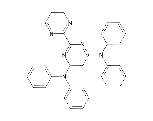 c1ccc(N(c2ccccc2)c2cc(N(c3ccccc3)c3ccccc3)nc(-c3ncccn3)n2)cc1